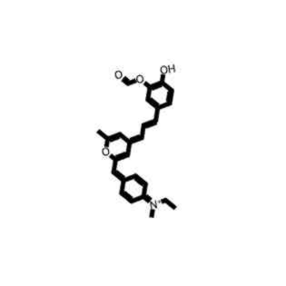 CC[N+](C)=C1C=CC(=CC2=C/C(=C/C=C/c3ccc(O)c(OC=O)c3)C=C(C)O2)C=C1